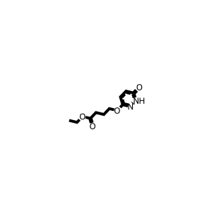 CCOC(=O)CCCOc1ccc(=O)[nH]n1